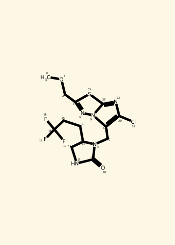 COCc1nn2c(CN3C(=O)NCC3CCC(F)(F)F)c(Cl)nc2s1